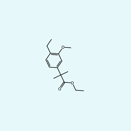 CCOC(=O)C(C)(C)c1ccc(CC)c(OC)c1